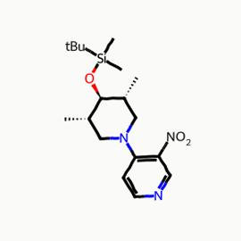 C[C@@H]1CN(c2ccncc2[N+](=O)[O-])C[C@H](C)[C@H]1O[Si](C)(C)C(C)(C)C